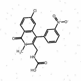 Cn1c(CNC(=O)O)c(-c2cccc([N+](=O)[O-])c2)c2cc(Cl)ccc2c1=O